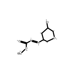 CCC1COCC(N=NC(=O)OC(C)(C)C)C1